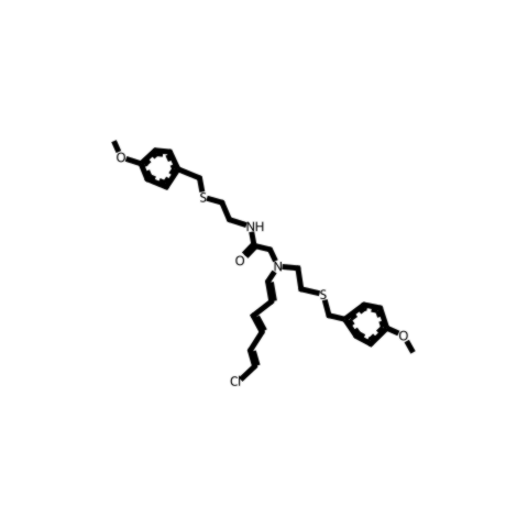 COc1ccc(CSCCNC(=O)CN(/C=C/C=C/C=C/Cl)CCSCc2ccc(OC)cc2)cc1